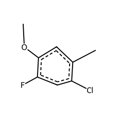 COc1cc(C)c(Cl)cc1F